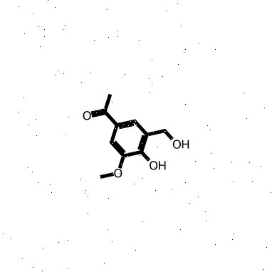 COc1cc(C(C)=O)cc(CO)c1O